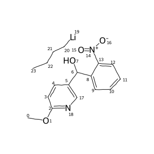 COc1ccc(C(O)c2ccccc2[N+](=O)[O-])cn1.[Li][CH2]CCC